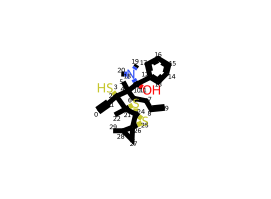 C#CC(S)(C(C)(CCC=C)C(O)(c1ccccc1)N(C)C)C1(C)SC12SC21CC1C